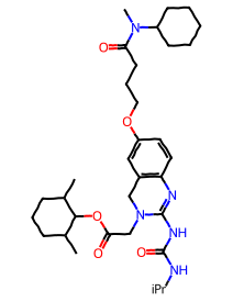 CC(C)NC(=O)NC1=Nc2ccc(OCCCC(=O)N(C)C3CCCCC3)cc2CN1CC(=O)OC1C(C)CCCC1C